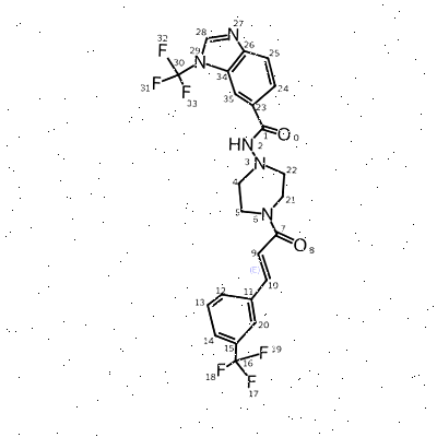 O=C(NN1CCN(C(=O)/C=C/c2cccc(C(F)(F)F)c2)CC1)c1ccc2ncn(C(F)(F)F)c2c1